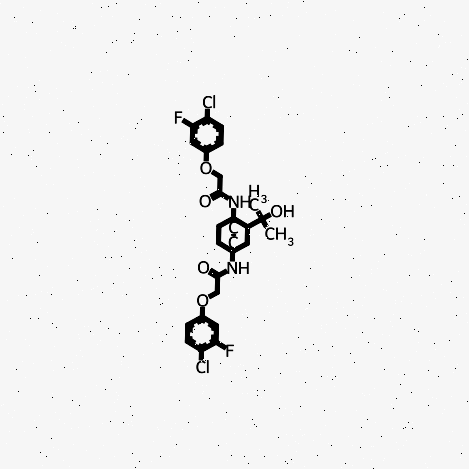 CC(C)(O)C1CC2(NC(=O)COc3ccc(Cl)c(F)c3)CCC1(NC(=O)COc1ccc(Cl)c(F)c1)CC2